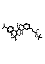 CC(C)c1ccc([C@@H](C(=O)Nc2cc(CCC(=O)OC(C)(C)C)ccc2Cl)[C@@H](C)C(F)(F)F)cc1